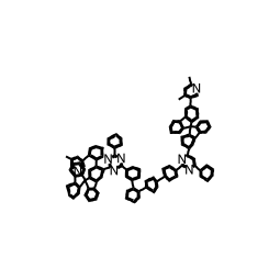 Cc1cncc(-c2ccccc2-c2cc3c(cc2-c2nc(-c4ccccc4)nc(-c4cccc(-c5ccccc5-c5ccc(-c6ccc(-c7nc(-c8ccccc8)cc(-c8ccc9c(c8)-c8ccccc8C98c9ccccc9-c9cc(-c%10cnc(C)cc%10C)ccc98)n7)cc6)cc5)c4)n2)-c2ccccc2C32c3ccccc3-c3ccccc32)c1